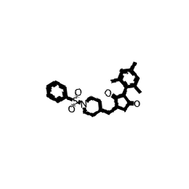 Cc1cc(C)c(C2C(=O)CC(CC3CCN(S(=O)(=O)c4ccccc4)CC3)C2=O)c(C)c1